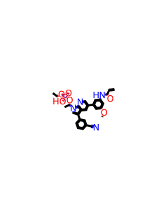 C=CC(=O)Nc1cc(OC)cc(-c2cnc3c(c2)c(-c2cccc(C#N)c2)cn3C(C)OP(=O)(O)OCC)c1